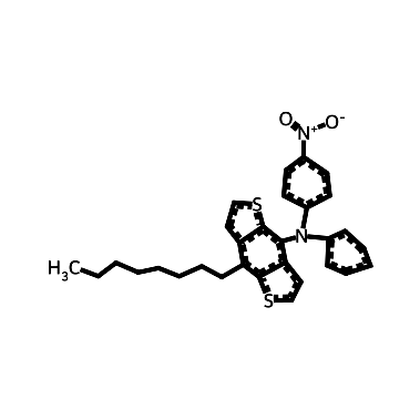 CCCCCCCCc1c2ccsc2c(N(c2ccccc2)c2ccc([N+](=O)[O-])cc2)c2ccsc12